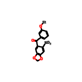 CCOc1cccc(C(=O)c2cc3c(cc2[N+](=O)[O-])OCO3)c1